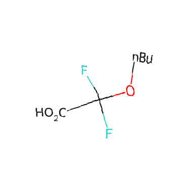 CCCCOC(F)(F)C(=O)O